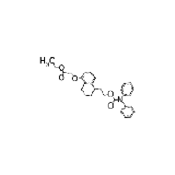 CCOC(=O)COc1cccc2c1CCCC2CCOC(=O)N(c1ccccc1)c1ccccc1